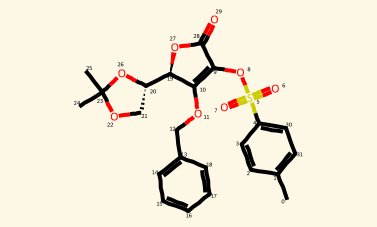 Cc1ccc(S(=O)(=O)OC2=C(OCc3ccccc3)[C@@H]([C@@H]3COC(C)(C)O3)OC2=O)cc1